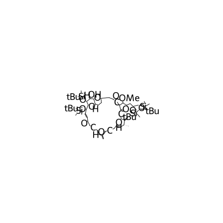 C=C1C[C@@H]2CCC(=O)/C=C/C(O[Si](C)(C)C(C)(C)C)C3O[C@H]4CCC(CC(=O)CC5C(CC6O[C@@H](CCC1O2)C[C@@H](C)C6=C)OC(CC(CO[Si](C)(C)C(C)(C)C)O[Si](C)(C)C(C)(C)C)[C@@H]5OC)OC4[C@H](O)C3O[Si](C)(C)C(C)(C)C